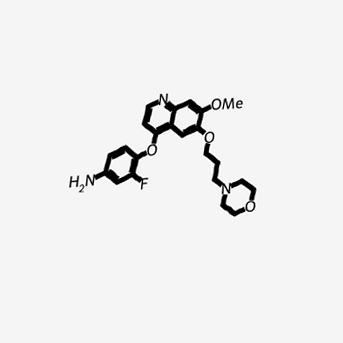 COc1cc2nccc(Oc3ccc(N)cc3F)c2cc1OCCCN1CCOCC1